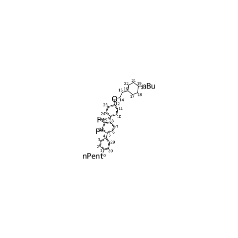 CCCCCc1ccc(-c2ccc(-c3ccc(OCCC4CCC(CCCC)CC4)cc3)c(F)c2F)cc1